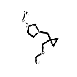 FC(F)(F)O[C@H]1CCN(CC2(COCS)CC2)C1